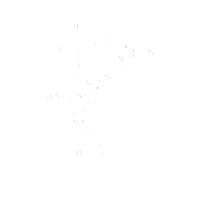 Cc1cc(-c2ccc(C(C)(C)C)cc2)ncc1C(=O)NC(CCN)C(=O)N(C)C1C(=O)NC(C)C(=O)NC(C(=O)NCC#N)Cc2ccc(OCCN)c(c2)-c2cc1ccc2OCCN